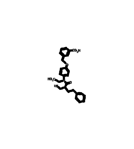 O=C(O)CN(C(=O)C(CS)CCc1ccccc1)c1ccc(OCc2cccc(C(=O)O)c2)cc1